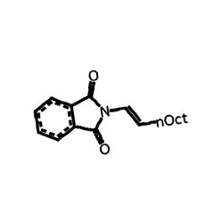 CCCCCCCCC=CN1C(=O)c2ccccc2C1=O